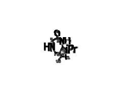 CC(C)C1NC(=O)CNCC1C(C)I